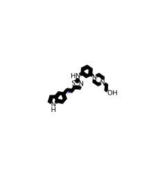 OCCN1CCN(c2cccc(Nc3ncc(/C=C/c4ccc5[nH]ccc5c4)s3)c2)CC1